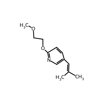 COCCOc1ccc(C=C(C)C)cn1